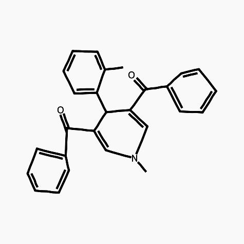 Cc1ccccc1C1C(C(=O)c2ccccc2)=CN(C)C=C1C(=O)c1ccccc1